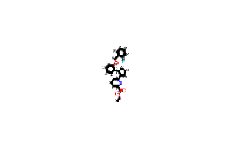 CCOC(=O)c1cccc(C2=C(c3ccccc3OCc3ccccc3F)CCC2)n1